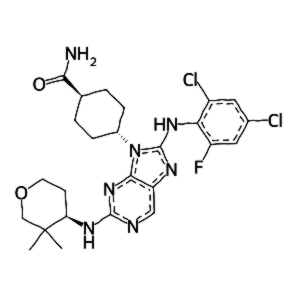 CC1(C)COCC[C@H]1Nc1ncc2nc(Nc3c(F)cc(Cl)cc3Cl)n([C@H]3CC[C@H](C(N)=O)CC3)c2n1